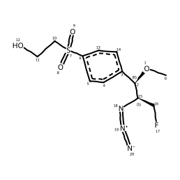 CO[C@H](c1ccc(S(=O)(=O)CCO)cc1)[C@@H](CF)N=[N+]=[N-]